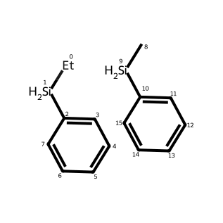 CC[SiH2]c1ccccc1.C[SiH2]c1ccccc1